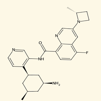 C[C@@H]1C[C@H](N)C[C@H](c2ccncc2NC(=O)c2ccc(F)c3cc(N4CC[C@H]4C)cnc23)C1